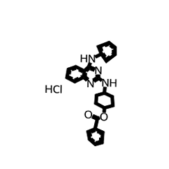 Cl.O=C(OC1CCC(Nc2nc(Nc3ccccc3)c3ccccc3n2)CC1)c1ccccc1